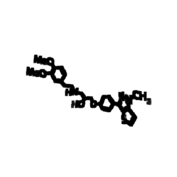 COc1ccc(CCNCC(O)COc2ccc(-c3nn(C)c4ccsc34)cc2)cc1OC